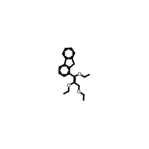 CCOCC(OCC)=C(OCC)c1cccc2c1Cc1ccccc1-2